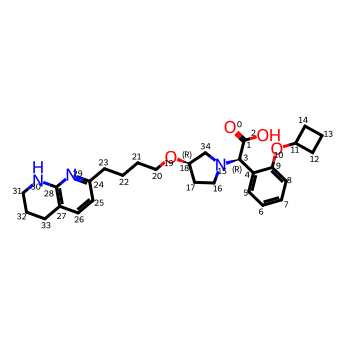 O=C(O)[C@@H](c1ccccc1OC1CCC1)N1CC[C@@H](OCCCCc2ccc3c(n2)NCCC3)C1